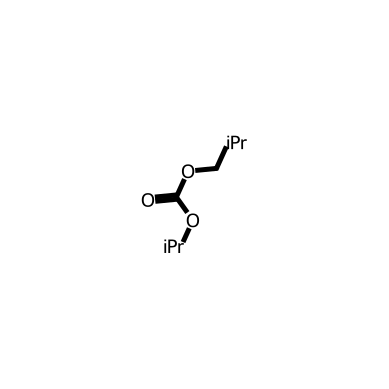 CC(C)COC(=O)OC(C)C